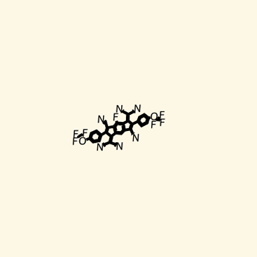 N#CC(C#N)=C1C(c2ccc(OC(F)(F)F)cc2)=C(C#N)c2c1cc1c(c2F)C(=C(C#N)C#N)C(c2ccc(OC(F)(F)F)cc2)=C1C#N